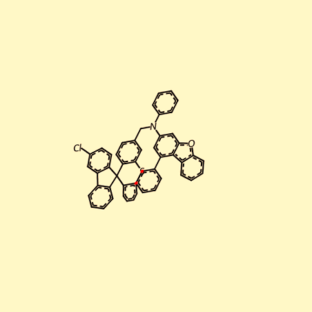 Clc1ccc2c(c1)-c1ccccc1C21c2ccccc2Sc2cc(CN(c3ccccc3)c3cc(-c4ccccc4)c4c(c3)oc3ccccc34)ccc21